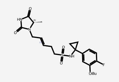 CC(C)COc1cc(C2(NS(=O)(=O)CC/C=C/CN3C(=O)NC(=O)[C@@H]3C)CC2)ccc1F